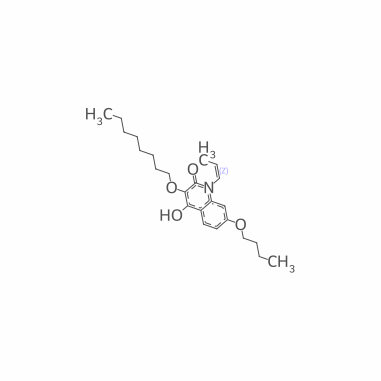 C/C=C\n1c(=O)c(OCCCCCCCC)c(O)c2ccc(OCCCC)cc21